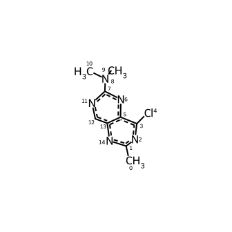 Cc1nc(Cl)c2nc(N(C)C)ncc2n1